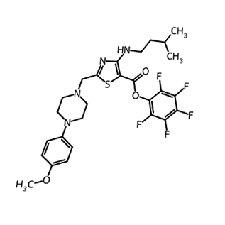 COc1ccc(N2CCN(Cc3nc(NCCC(C)C)c(C(=O)Oc4c(F)c(F)c(F)c(F)c4F)s3)CC2)cc1